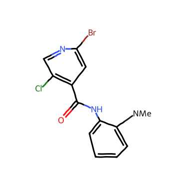 CNc1ccccc1NC(=O)c1cc(Br)ncc1Cl